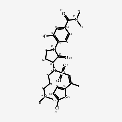 C/C(=C/S(=O)(=O)N(CCCN(C)C)[C@H]1CCN(c2ccc(C(=O)N(C)C)cc2F)C1=O)c1ccc(Cl)s1